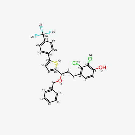 Oc1ccc(CC[C@@H](OCc2ccccc2)c2ccc(-c3ccc(C(F)(F)F)cc3)s2)c(Cl)c1Cl